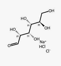 Cl.O=C[C@H](O)[C@@H](O)[C@H](O)[C@H](O)CO.[Cl-].[Na+]